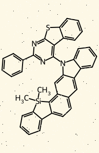 C[Si]1(C)c2ccccc2-c2ccc3cc4c5ccccc5n(-c5nc(-c6ccccc6)nc6sc7ccccc7c56)c4cc3c21